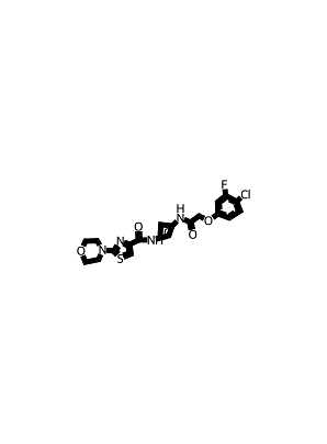 O=C(COc1ccc(Cl)c(F)c1)NC12CC(NC(=O)c3csc(N4CCOCC4)n3)(C1)C2